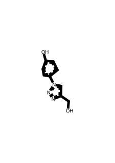 OCc1cn(-c2ccc(O)cc2)nn1